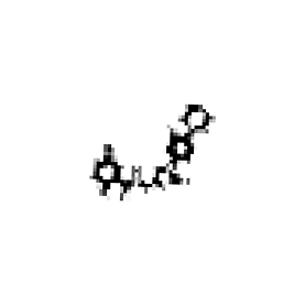 O=C(NC[C@H]1CN(c2ccc(N3CCSCC3)c(F)c2)C(=O)O1)C1=CC(Br)=CCC1=S